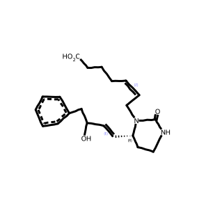 O=C(O)CCC/C=C\CN1C(=O)NCC[C@@H]1/C=C/C(O)Cc1ccccc1